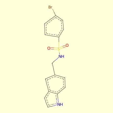 O=S(=O)(NCc1ccc2[nH]ccc2c1)c1ccc(Br)cc1